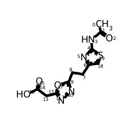 CC(=O)Nc1nc(CCc2nnc(CC(=O)O)o2)cs1